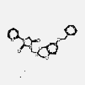 O=C1CN(c2ccccn2)C(=O)N1C[C@@H]1COc2ccc(OCc3ccccc3)cc2O1